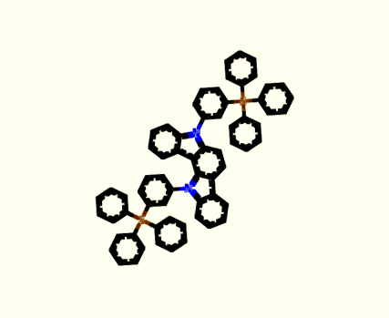 c1ccc(S(c2ccccc2)(c2ccccc2)c2cccc(-n3c4ccccc4c4c3ccc3c5ccccc5n(-c5cccc(S(c6ccccc6)(c6ccccc6)c6ccccc6)c5)c34)c2)cc1